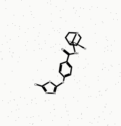 O=C(N[C@H]1CN2CCC1CC2)c1ccc(Sc2nnc(Cl)s2)cc1